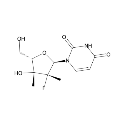 C[C@]1(F)[C@H](n2ccc(=O)[nH]c2=O)O[C@@H](CO)[C@@]1(C)O